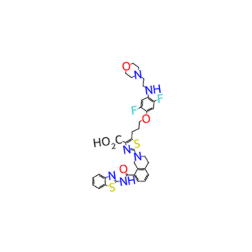 O=C(Nc1nc2ccccc2s1)c1cccc2c1CN(c1nc(C(=O)O)c(CCCOc3cc(F)c(NCCN4CCOCC4)cc3F)s1)CC2